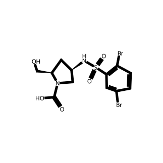 O=C(O)N1C[C@H](NS(=O)(=O)c2cc(Br)ccc2Br)C[C@@H]1CO